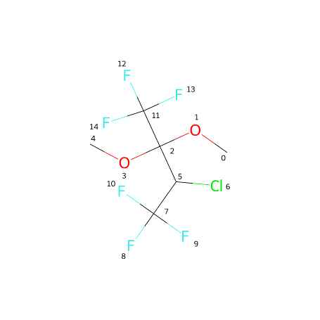 COC(OC)(C(Cl)C(F)(F)F)C(F)(F)F